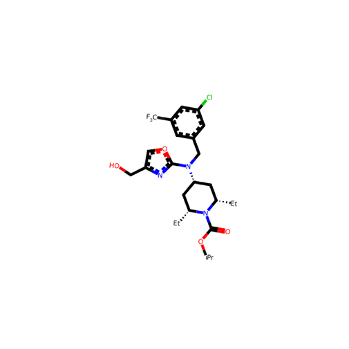 CC[C@@H]1C[C@H](N(Cc2cc(Cl)cc(C(F)(F)F)c2)c2nc(CO)co2)C[C@H](CC)N1C(=O)OC(C)C